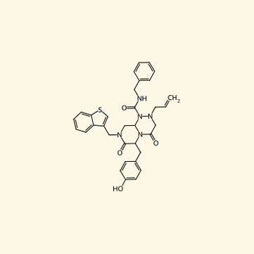 C=CCN1CC(=O)N2C(Cc3ccc(O)cc3)C(=O)N(Cc3csc4ccccc34)CC2N1C(=O)NCc1ccccc1